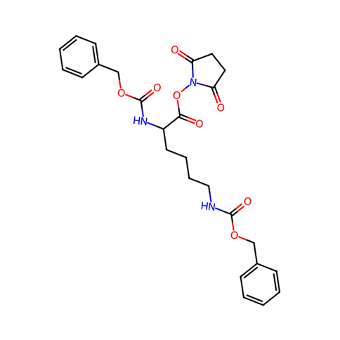 O=C(NCCCCC(NC(=O)OCc1ccccc1)C(=O)ON1C(=O)CCC1=O)OCc1ccccc1